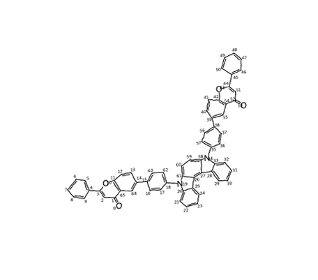 O=c1cc(-c2ccccc2)oc2ccc(-c3ccc(-n4c5ccccc5c5c6c7ccccc7n(-c7ccc(-c8ccc9oc(-c%10ccccc%10)cc(=O)c9c8)cc7)c6ccc54)cc3)cc12